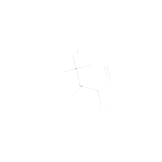 CC([C]=O)C(=O)C(C)(C)C